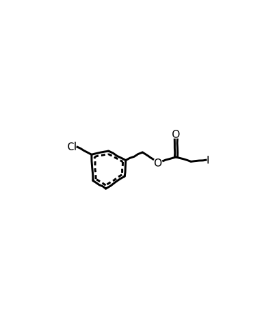 O=C(CI)OCc1cccc(Cl)c1